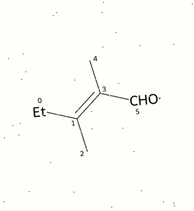 CCC(C)=C(C)[C]=O